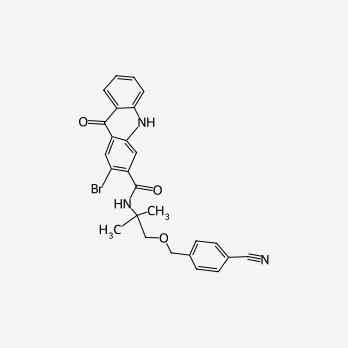 CC(C)(COCc1ccc(C#N)cc1)NC(=O)c1cc2[nH]c3ccccc3c(=O)c2cc1Br